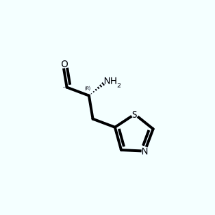 N[C@@H]([C]=O)Cc1cncs1